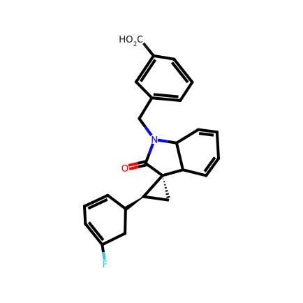 O=C(O)c1cccc(CN2C(=O)[C@@]3(C[C@H]3C3C=CC=C(F)C3)C3C=CC=CC32)c1